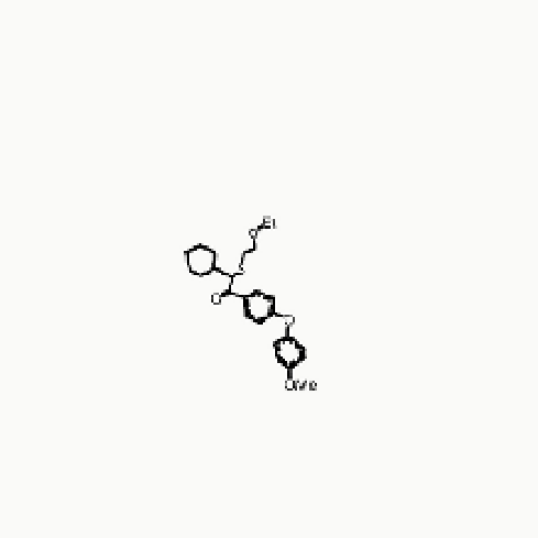 CCOCCSC(C(=O)c1ccc(Oc2ccc(OC)cc2)cc1)C1CCCCC1